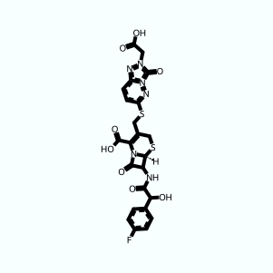 O=C(O)Cn1nc2ccc(SCC3=C(C(=O)O)N4C(=O)C(NC(=O)C(O)c5ccc(F)cc5)[C@@H]4SC3)nn2c1=O